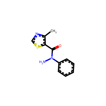 Cc1ncsc1C(=O)N(N)c1ccccc1